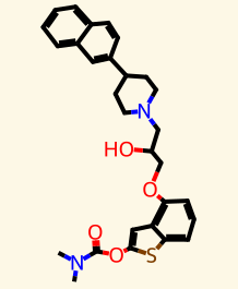 CN(C)C(=O)Oc1cc2c(OCC(O)CN3CCC(c4ccc5ccccc5c4)CC3)cccc2s1